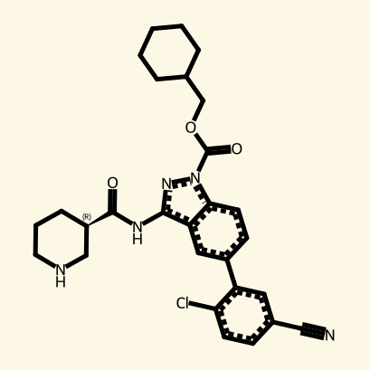 N#Cc1ccc(Cl)c(-c2ccc3c(c2)c(NC(=O)[C@@H]2CCCNC2)nn3C(=O)OCC2CCCCC2)c1